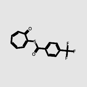 O=C(Sc1cccccc1=O)c1ccc(C(F)(F)F)cc1